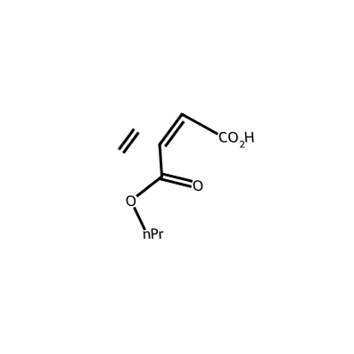 C=C.CCCOC(=O)/C=C\C(=O)O